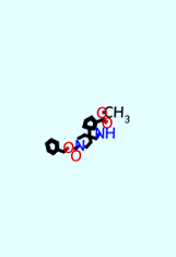 COC(=O)c1cccc2c1NCC21CCN(C(=O)OCc2ccccc2)CC1